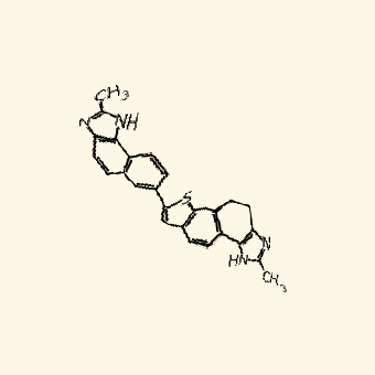 Cc1nc2c([nH]1)-c1ccc3cc(-c4ccc5c(ccc6nc(C)[nH]c65)c4)sc3c1CC2